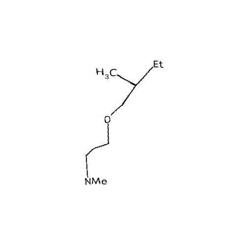 CCC(C)COCCNC